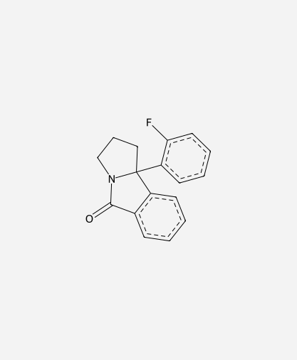 O=C1c2ccccc2C2(c3ccccc3F)CCCN12